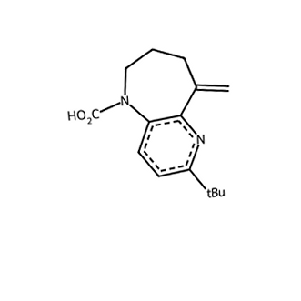 C=C1CCCN(C(=O)O)c2ccc(C(C)(C)C)nc21